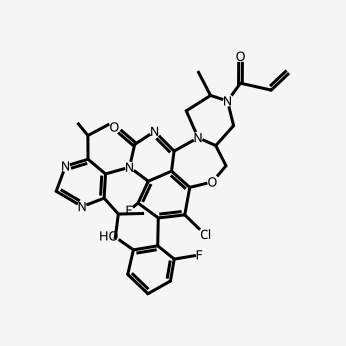 C=CC(=O)N1CC2COc3c(Cl)c(-c4c(O)cccc4F)c(F)c4c3c(nc(=O)n4-c3c(C(C)C)ncnc3C(C)C)N2CC1C